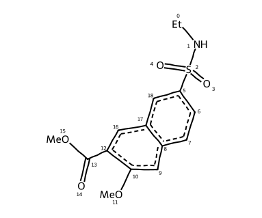 CCNS(=O)(=O)c1ccc2cc(OC)c(C(=O)OC)cc2c1